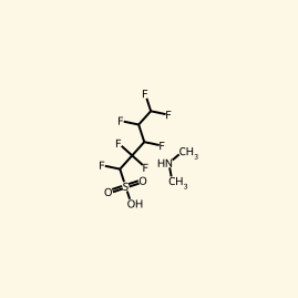 CNC.O=S(=O)(O)C(F)C(F)(F)C(F)C(F)C(F)F